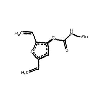 C=Cc1cc(OC(=O)NC(C)(C)C)c(C=C)s1